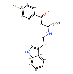 O=C(CC(NCCc1c[nH]c2ccccc12)C(=O)O)c1ccc(F)cc1